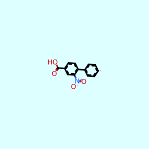 O=C(O)c1ccc(-c2cc[c]cc2)c([N+](=O)[O-])c1